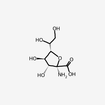 N[C@@]1(C(=O)O)O[C@@H](C(O)CO)[C@H](O)[C@H]1O